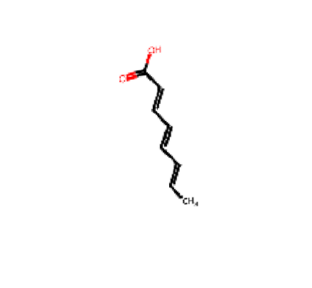 C/C=C/C=C/C=C/C(=O)O